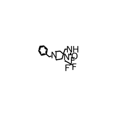 O=C1NCC2(CCN(Cc3ccccc3)CC2)N1CC(F)(F)F